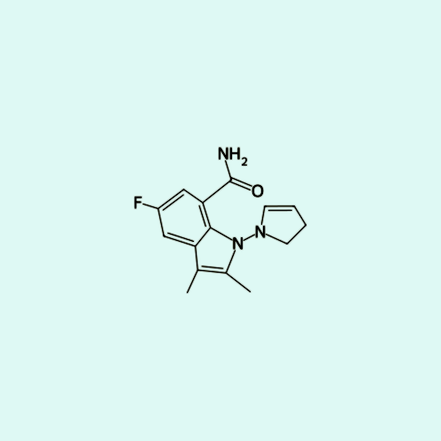 Cc1c(C)n(N2C=CCC2)c2c(C(N)=O)cc(F)cc12